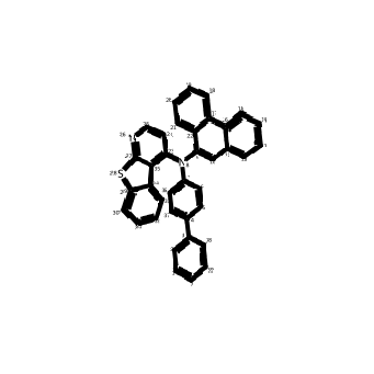 c1ccc(-c2ccc(N(c3cc4ccccc4c4ccccc34)c3ccnc4sc5ccccc5c34)cc2)cc1